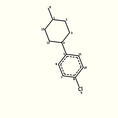 CC1CC[C](c2ccc(Cl)cc2)CC1